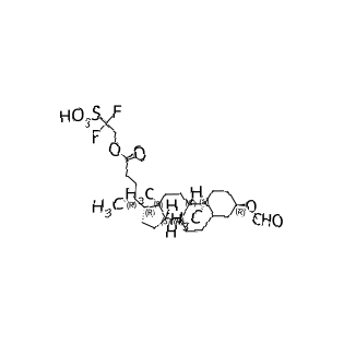 C[C@H](CCC(=O)OCC(F)(F)S(=O)(=O)O)[C@H]1CC[C@H]2[C@@H]3CCC4C[C@H](OC=O)CC[C@]4(C)[C@H]3CC[C@]12C